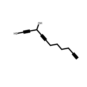 C#CCCCCC#CC(O)C#CS